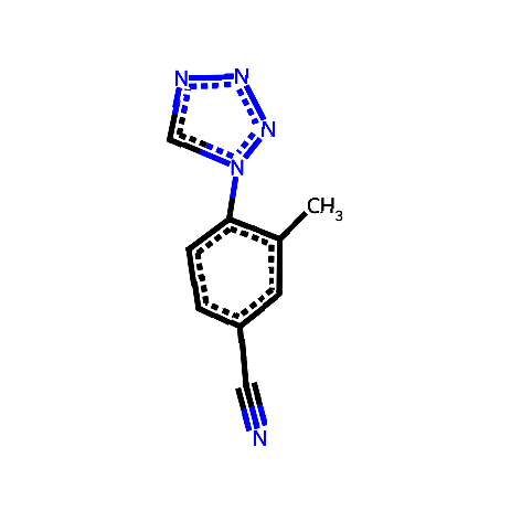 Cc1cc(C#N)ccc1-n1cnnn1